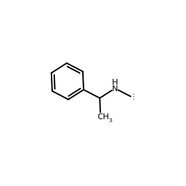 [C]NC(C)c1ccccc1